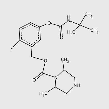 CC1CNCC(C)N1C(=O)OCc1cc(OC(=O)NC(C)(C)C)ccc1F